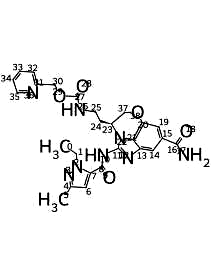 CCn1nc(C)cc1C(=O)Nc1nc2cc(C(N)=O)cc3c2n1[C@@H](CCNC(=O)OCc1ccccn1)CO3